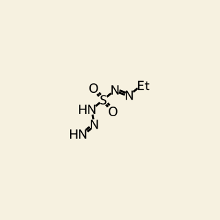 CCN=NS(=O)(=O)NN=N